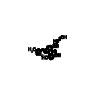 CN(C)CCCn1nc2c3c(c(NCCNCCO)ccc31)C(=O)c1c(O)ccc(O)c1-2